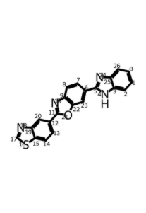 c1ccc2[nH]c(-c3ccc4nc(-c5ccc6scnc6c5)oc4c3)nc2c1